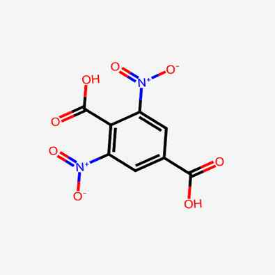 O=C(O)c1cc([N+](=O)[O-])c(C(=O)O)c([N+](=O)[O-])c1